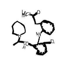 CC(O)N1CCCCC1.O=C(O)Cc1ccccc1Nc1c(Cl)cccc1Cl